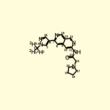 [2H]C([2H])([2H])n1cc(-c2cc3cc(NC(=O)CN4CCCC4)ncc3cn2)cn1